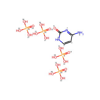 Nc1cc[nH]c(=O)n1.O=P(O)(O)O.O=P(O)(O)O.O=P(O)(O)O.O=P(O)(O)O